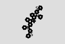 CC1(C)c2cc(N(c3ccccc3)c3ccc4sc5ccccc5c4c3)c3ccccc3c2-c2c1c1ccc(N(c3ccccc3)c3ccc4sc5ccccc5c4c3)cc1c1ccccc21